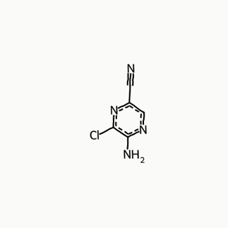 N#Cc1cnc(N)c(Cl)n1